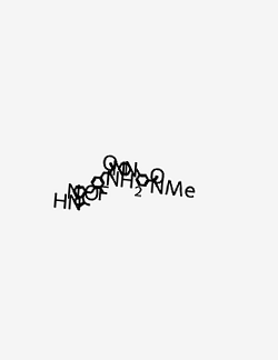 CNC(=O)c1cccc(CN2CCN(C(=O)C(N)Cc3ccc(Oc4ccnc5[nH]cc(C)c45)c(F)c3)CC2)c1